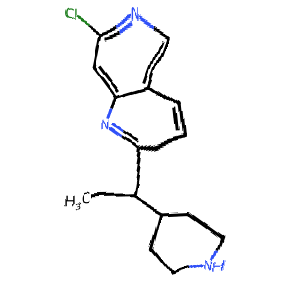 CC(c1ccc2cnc(Cl)cc2n1)C1CCNCC1